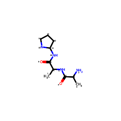 CC(N)C(=O)NC(C)C(=O)NC1CCC[N]1